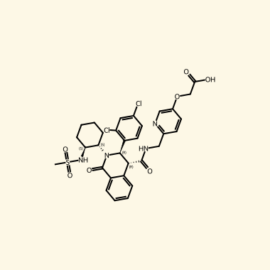 CS(=O)(=O)N[C@H]1CCCC[C@@H]1N1C(=O)c2ccccc2[C@@H](C(=O)NCc2ccc(OCC(=O)O)cn2)[C@@H]1c1ccc(Cl)cc1Cl